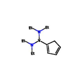 CC[N](CC)[V]([C]1=CC=CC1)[N](CC)CC